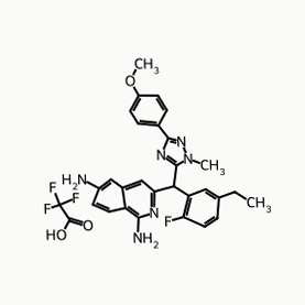 CCc1ccc(F)c(C(c2cc3cc(N)ccc3c(N)n2)c2nc(-c3ccc(OC)cc3)nn2C)c1.O=C(O)C(F)(F)F